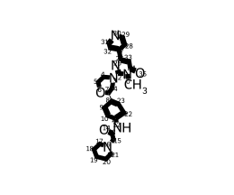 Cn1c(N2CCO[C@@H](c3ccc(NC(=O)CN4CCCCC4)cc3)C2)nc(-c2ccncc2)cc1=O